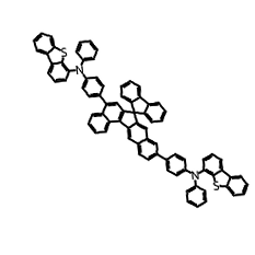 c1ccc(N(c2ccc(-c3ccc4cc5c(cc4c3)C3(c4ccccc4-c4ccccc43)c3cc(-c4ccc(N(c6ccccc6)c6cccc7c6sc6ccccc67)cc4)c4ccccc4c3-5)cc2)c2cccc3c2sc2ccccc23)cc1